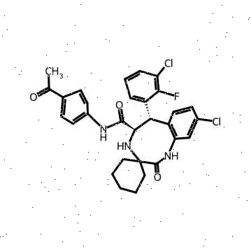 CC(=O)c1ccc(NC(=O)[C@@H]2NC3(CCCCC3)C(=O)Nc3cc(Cl)ccc3[C@H]2c2cccc(Cl)c2F)cc1